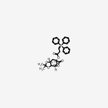 CC1(C)OC2[C@H]3C[C@@](OC(=O)CC=P(c4ccccc4)(c4ccccc4)c4ccccc4)(C[C@H]2O1)C(=O)O3